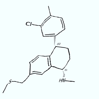 CN[C@H]1CC[C@@H](c2ccc(C)c(Cl)c2)c2ccc(CSC)cc21